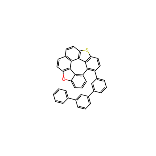 c1ccc(-c2cccc(-c3cccc(-c4ccc5sc6ccc7ccc8oc9cccc%10c9c8c7c6c5c4-%10)c3)c2)cc1